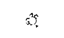 O=C1N[C@H](C2CC2)CCc2ncc(F)cc2[C@H]2[C@@H]3C4C([C@@H]43)N2c2ccn3ncc1c3n2